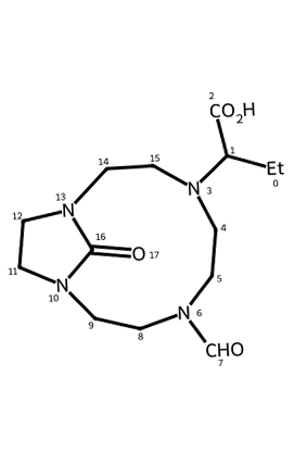 CCC(C(=O)O)N1CCN(C=O)CCN2CCN(CC1)C2=O